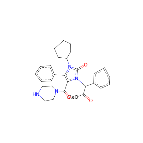 COC(=O)C(c1ccccc1)n1c(C(=O)N2CCNCC2)c(-c2ccccc2)n(C2CCCCC2)c1=O